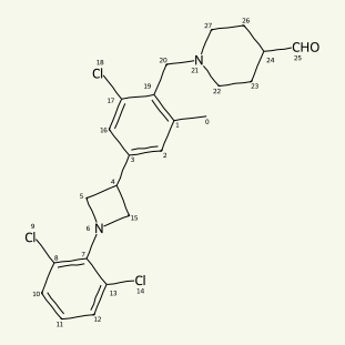 Cc1cc(C2CN(c3c(Cl)cccc3Cl)C2)cc(Cl)c1CN1CCC(C=O)CC1